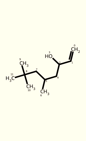 C=CC(O)CC(C)CC(C)(C)C